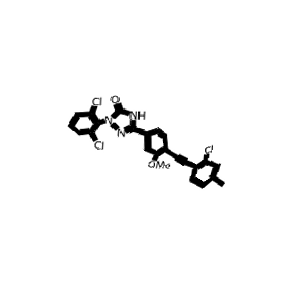 COc1cc(-c2nn(-c3c(Cl)cccc3Cl)c(=O)[nH]2)ccc1C#Cc1ccc(C)cc1Cl